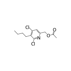 CCCCc1c(Cl)cc(COC(C)=O)nc1Cl